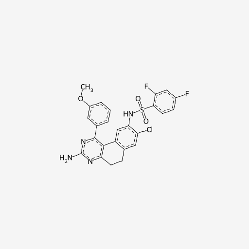 COc1cccc(-c2nc(N)nc3c2-c2cc(NS(=O)(=O)c4ccc(F)cc4F)c(Cl)cc2CC3)c1